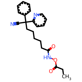 CCC(=O)ONC(=O)CCCCCC(C#N)(c1ccccc1)c1ccccn1